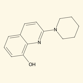 Oc1cccc2ccc(N3CCCCC3)nc12